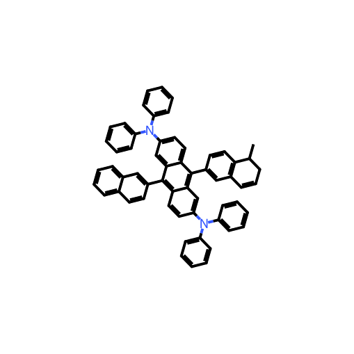 CC1CC=Cc2cc(-c3c4ccc(N(c5ccccc5)c5ccccc5)cc4c(-c4ccc5ccccc5c4)c4ccc(N(c5ccccc5)c5ccccc5)cc34)ccc21